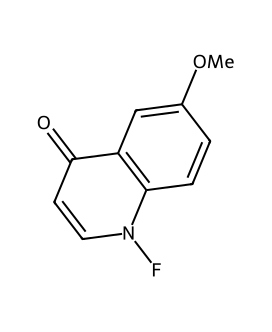 COc1ccc2c(c1)c(=O)ccn2F